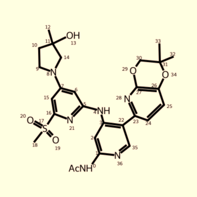 CC(=O)Nc1cc(Nc2cc(N3CCC(C)(O)C3)cc(S(C)(=O)=O)n2)c(-c2ccc3c(n2)OCC(C)(C)O3)cn1